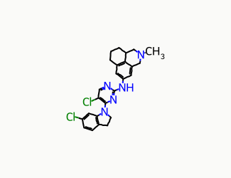 CN1Cc2cc(Nc3ncc(Cl)c(N4CCc5ccc(Cl)cc54)n3)cc3c2C(CCC3)C1